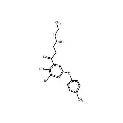 CCOC(=O)CCC(=O)c1cc(Oc2ccc(C)cc2)cc(Br)c1O